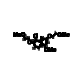 COCCOc1cc(OC)c2ccc(OCCOC)c(Cl)c2n1